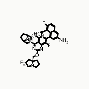 C#Cc1c(F)ccc2cc(N)cc(-c3nc(Cl)c4c(N5CC6CCC(C5)N6)nc(OC[C@@]56CCCN5C[C@H](F)C6)nc4c3F)c12